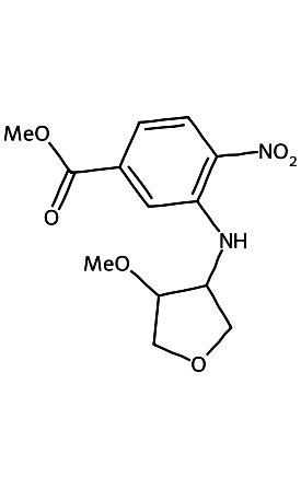 COC(=O)c1ccc([N+](=O)[O-])c(NC2COCC2OC)c1